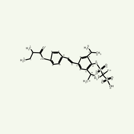 CCC(C)C(=O)Oc1ccc(C=Cc2cc(C(C)C)c(OS(=O)(=O)C(F)(F)S(=O)(=O)O)c(C(C)C)c2)cc1